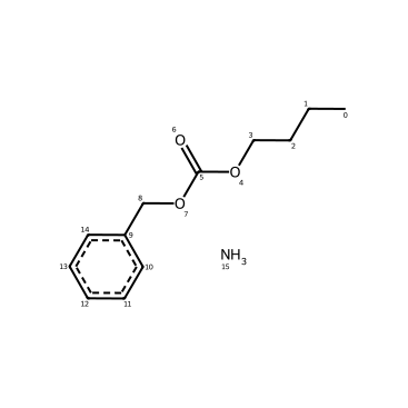 CCCCOC(=O)OCc1ccccc1.N